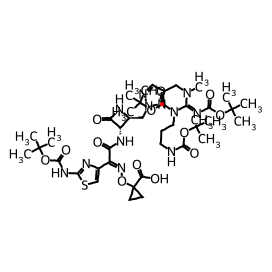 CN(Cc1cnn(C[C@@H]2NC(=O)[C@H]2NC(=O)C(=NOC2(C(=O)O)CC2)c2csc(NC(=O)OC(C)(C)C)n2)n1)/C(=N\C(=O)OC(C)(C)C)N(CCCNC(=O)OC(C)(C)C)C(=O)OC(C)(C)C